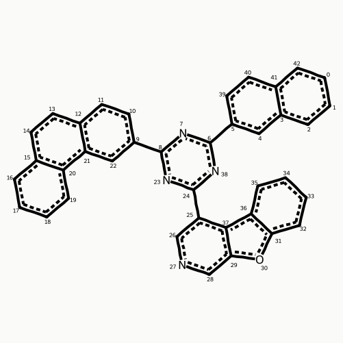 c1ccc2cc(-c3nc(-c4ccc5ccc6ccccc6c5c4)nc(-c4cncc5oc6ccccc6c45)n3)ccc2c1